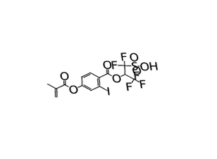 C=C(C)C(=O)Oc1ccc(C(=O)OC(C(F)(F)F)C(F)(F)S(=O)(=O)O)c(I)c1